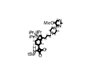 COc1cncnc1N1CCN(CCCc2cn([Si](C(C)C)(C(C)C)C(C)C)c3ccc(-c4c(NC(C)(C)C)c(=O)c4=O)cc23)CC1